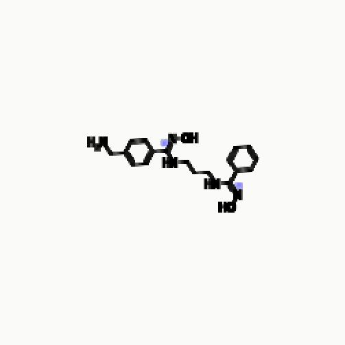 NCc1ccc(/C(=N/O)NCCCN/C(=N\O)c2ccccc2)cc1